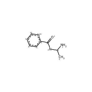 CC(N)[N]C(=O)c1ccccn1